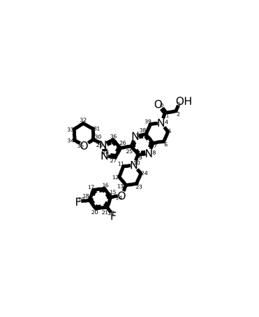 O=C(CO)N1CCc2nc(N3CCC(Oc4ccc(F)cc4F)CC3)c(-c3cnn(C4CCCCO4)c3)nc2C1